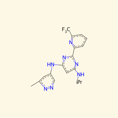 Cc1cc(Nc2cc(NC(C)C)nc(-c3cccc(C(F)(F)F)n3)n2)cnn1